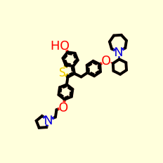 Oc1ccc2c(Cc3ccc(O[C@H]4CCCC[C@@H]4N4CCCCCC4)cc3)c(-c3ccc(OCCN4CCCC4)cc3)sc2c1